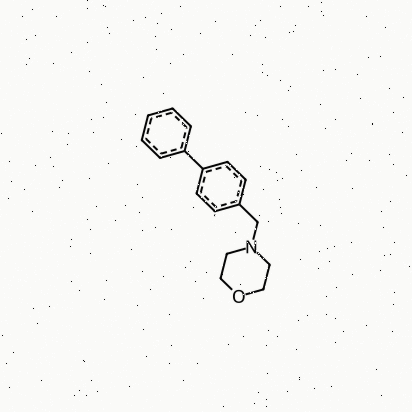 [c]1cc(-c2ccccc2)ccc1CN1CCOCC1